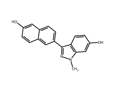 Cn1nc(-c2ccc3cc(O)ccc3c2)c2ccc(O)cc21